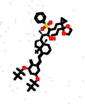 C=C1/C(=C\C=C2/CCC[C@]3(C)[C@@H]([C@H](C)C(O)C(CCC4(C5(CCC)OCCO5)CC4)S(=O)(=O)c4ccccc4)CC[C@@H]23)C[C@@H](O[Si](C)(C)C(C)(C)C)C[C@@H]1O[Si](C)(C)C(C)(C)C